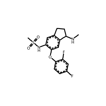 CNC1CCc2cc(NS(C)(=O)=O)c(Oc3ccc(F)cc3F)cc21